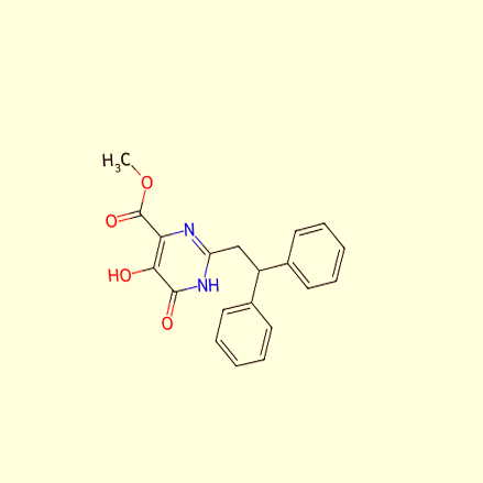 COC(=O)c1nc(CC(c2ccccc2)c2ccccc2)[nH]c(=O)c1O